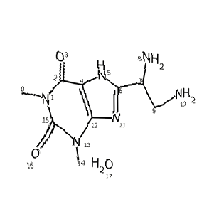 Cn1c(=O)c2[nH]c(C(N)CN)nc2n(C)c1=O.O